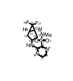 CNS(=O)(=O)c1nccnc1NC1C[C@@H]2[C@H](C1)C2(F)F